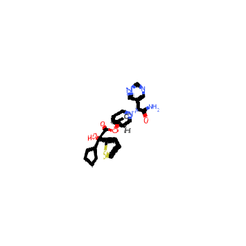 NC(=O)C(c1cncnc1)[N+]12CCC(CC1)[C@@H](OC(=O)C(O)(c1cccs1)C1CCCC1)C2